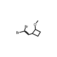 COC1CCC1C=C(Br)Br